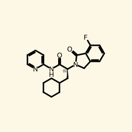 O=C(Nc1ccccn1)[C@H](CC1CCCCC1)N1Cc2cccc(F)c2C1=O